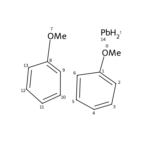 COc1ccccc1.COc1ccccc1.[PbH2]